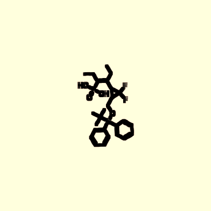 CCC(=C(CC)P(=O)(O)O)C1C(CO[Si](c2ccccc2)(c2ccccc2)C(C)(C)C)C1(F)F